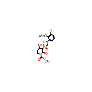 COc1c(Cl)cccc1NCS(=O)(=O)C1C(=O)CCN(C(=O)OC(C)(C)C)C1=O